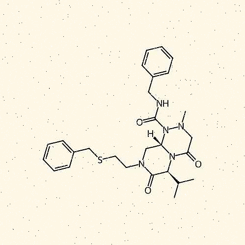 CC(C)[C@H]1C(=O)N(CCSCc2ccccc2)C[C@H]2N1C(=O)CN(C)N2C(=O)NCc1ccccc1